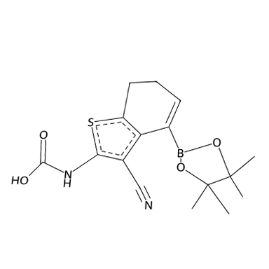 CC1(C)OB(C2=CCCc3sc(NC(=O)O)c(C#N)c32)OC1(C)C